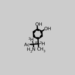 [2H][C@@](N)(C(C)=O)[C@]([2H])(C)c1ccc(O)c(O)c1